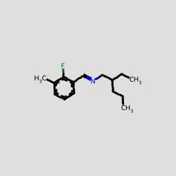 CCCC(CC)C/N=C/c1cccc(C)c1F